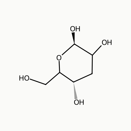 OCC1O[C@@H](O)C(O)C[C@@H]1O